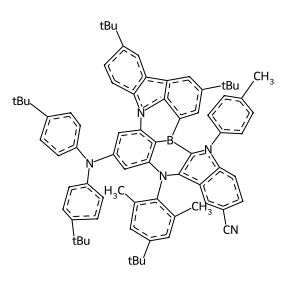 Cc1ccc(-n2c3c(c4cc(C#N)ccc42)N(c2c(C)cc(C(C)(C)C)cc2C)c2cc(N(c4ccc(C(C)(C)C)cc4)c4ccc(C(C)(C)C)cc4)cc4c2B3c2cc(C(C)(C)C)cc3c5cc(C(C)(C)C)ccc5n-4c23)cc1